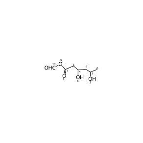 CC(O)CC(O)CC(=O)OC=O